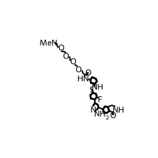 CNCCOCCOCCOCCOCCC(=O)Nc1cccc(NSc2ccc(-c3cnc(N)c(-c4ccc5c(c4)CCNC5=O)c3)c(F)c2)c1